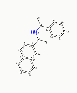 CC(NC(C)c1ccc2ccccc2c1)c1ccccc1